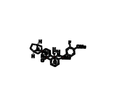 COc1ccc(CNC(=O)c2ccc(N3[C@@H]4CC[C@H]3C[C@@H](NC(=O)c3cccc(OC)c3C)C4)nc2)cc1F